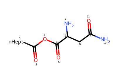 CCCCCCCC(=O)OC(=O)C(N)CC(N)=O